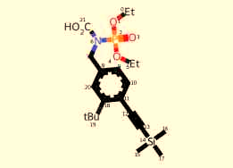 CCOP(=O)(OCC)N(Cc1ccc(C#C[Si](C)(C)C)c(C(C)(C)C)c1)C(=O)O